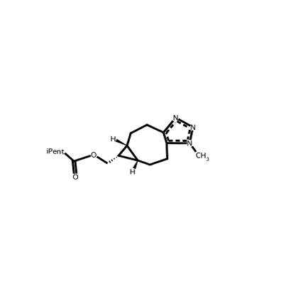 CCCC(C)C(=O)OC[C@@H]1[C@@H]2CCc3nnn(C)c3CC[C@@H]21